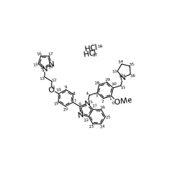 COc1cc(Cn2c(-c3ccc(OCCn4cccn4)cc3)nc3ccccc32)ccc1CN1CCCC1.Cl.Cl